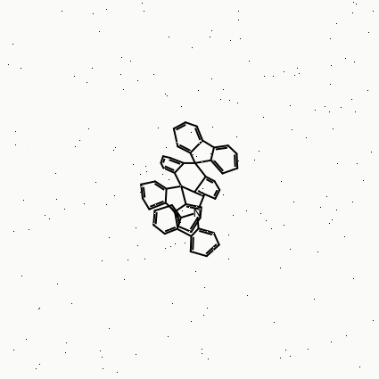 c1ccc2c(c1)-c1ccccc1C21c2ccccc2C2(c3ccccc3-c3ccccc32)c2c(-n3c4ccccc4c4ccccc43)cccc21